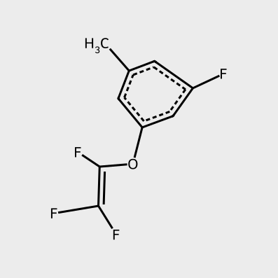 Cc1cc(F)cc(OC(F)=C(F)F)c1